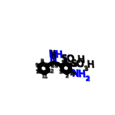 Nc1ccc(C2=C(c3ccccc3)N2N)c(S(=O)(=O)O)c1S(=O)(=O)O